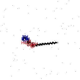 CCCCCCCCCCCCCCCCCCOP(=O)(O)OC[C@H]1O[C@@H](n2cnc3c(N)ncnc32)[C@@H](O)[C@@H]1O